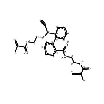 C#CC(OCCOC(=O)C(=C)C)c1ccccc1-c1ccccc1C(=O)OCCOC(=C)C(=C)C